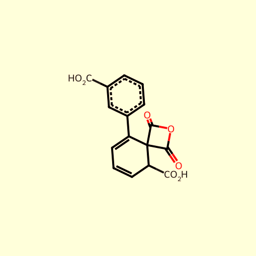 O=C(O)c1cccc(C2=CC=CC(C(=O)O)C23C(=O)OC3=O)c1